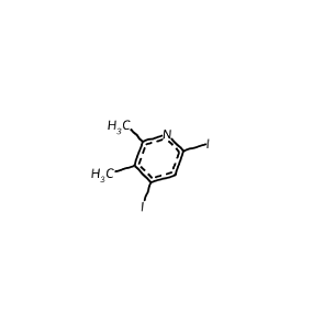 Cc1nc(I)cc(I)c1C